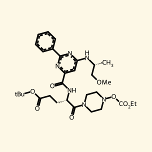 CCOC(=O)ON1CCN(C(=O)[C@H](CCC(=O)OC(C)(C)C)NC(=O)c2cc(N[C@H](C)COC)nc(-c3ccccc3)n2)CC1